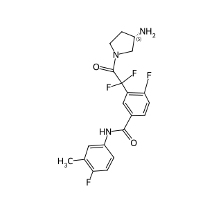 Cc1cc(NC(=O)c2ccc(F)c(C(F)(F)C(=O)N3CC[C@H](N)C3)c2)ccc1F